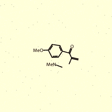 C=C(C)C(=O)c1ccc(OC)cc1.CNC